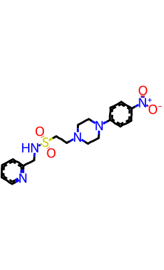 O=[N+]([O-])c1ccc(N2CCN(CCS(=O)(=O)NCc3ccccn3)CC2)cc1